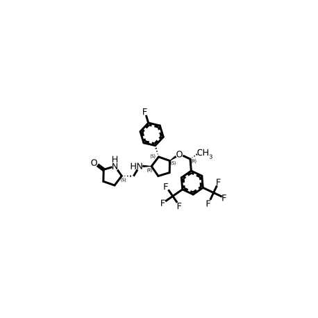 C[C@@H](O[C@H]1CC[C@@H](NC[C@@H]2CCC(=O)N2)[C@@H]1c1ccc(F)cc1)c1cc(C(F)(F)F)cc(C(F)(F)F)c1